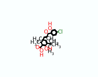 CC1=C(C(C)(C)C)C(O)=C(C(=O)O)C(C)C1(C)C=CC(=O)c1ccc(Cl)cc1O